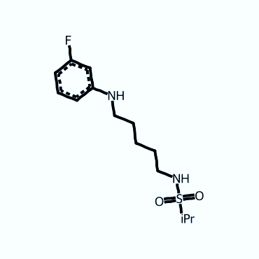 CC(C)S(=O)(=O)NCCCCCNc1cccc(F)c1